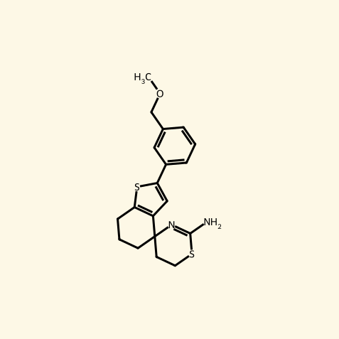 COCc1cccc(-c2cc3c(s2)CCCC32CCSC(N)=N2)c1